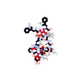 CCCC[C@@H](C(=O)N(C)[C@@H](CCCC)C(=O)N[C@@H](C)C(=O)N[C@@H](CSCC(=O)N[C@@H](Cc1ccc(O)cc1)C(=O)N(C)[C@@H](C)C(=O)N[C@@H](CC(N)=O)C(=O)N1CCC[C@H]1C(=O)N[C@@H](Cc1cnc[nH]1)C(=O)N[C@@H](CCC(=O)O)C(=O)N1C[C@H](O)C[C@H]1C(C)=O)C(=O)NCC(N)=O)N(C)C(=O)[C@H](Cc1c[nH]c2ccccc12)NC(=O)[C@H](CO)NC(=O)[C@@H](N)Cc1c[nH]c2ccccc12